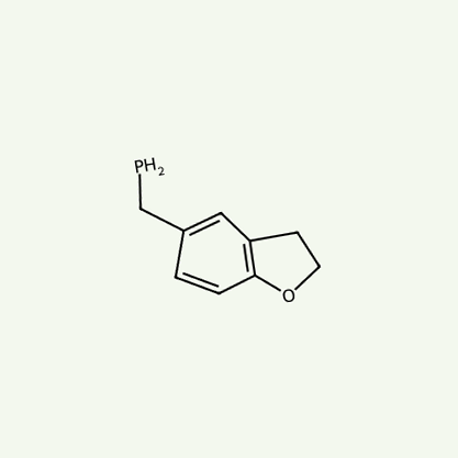 PCc1ccc2c(c1)CCO2